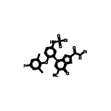 CCNC(=O)c1cc2c(s1)c(=O)c(C#N)cn2-c1cc(NS(=O)(=O)CC)ccc1Oc1c(C)cc(F)cc1C